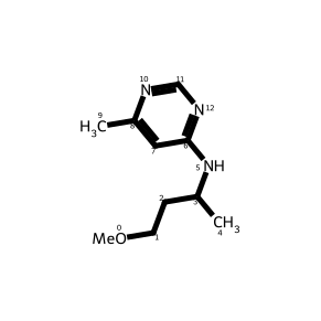 COCCC(C)Nc1cc(C)ncn1